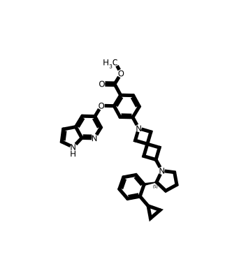 COC(=O)c1ccc(N2CC3(CC(N4CCC[C@H]4c4ccccc4C4CC4)C3)C2)cc1Oc1cnc2[nH]ccc2c1